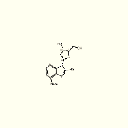 CNc1ncnc2c1nc(Br)n2[C@H]1C[C@H](O)[C@@H](CO)O1